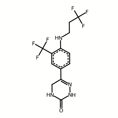 O=C1NCC(c2ccc(NCCC(F)(F)F)c(C(F)(F)F)c2)=NN1